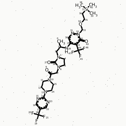 CC(CN1CCN(CC(=O)N2CCN(c3ncc(C(F)(F)F)cn3)CC2)C1=O)Nc1cnn(COCC[Si](C)(C)C)c(=O)c1C(F)(F)F